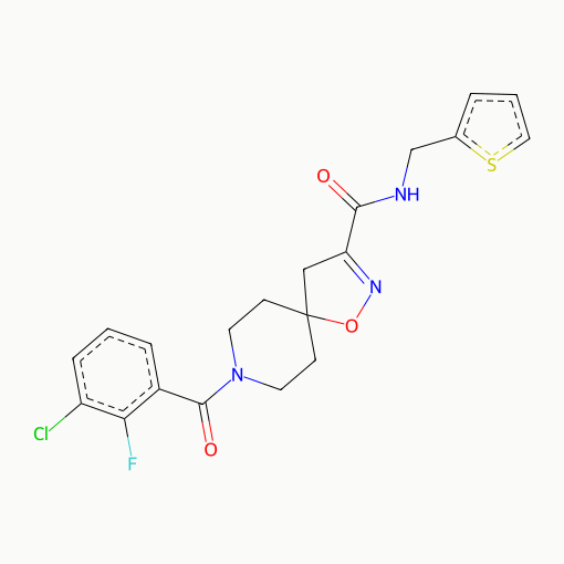 O=C(NCc1cccs1)C1=NOC2(CCN(C(=O)c3cccc(Cl)c3F)CC2)C1